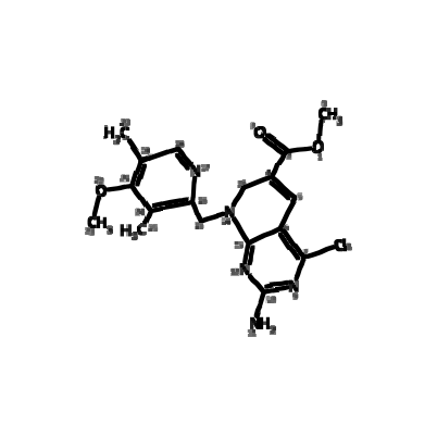 COC(=O)C1=Cc2c(Cl)nc(N)nc2N(Cc2ncc(C)c(OC)c2C)C1